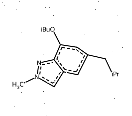 CC(C)COc1cc(CC(C)C)cc2cn(C)nc12